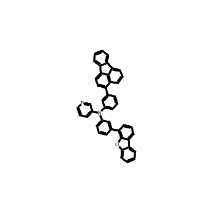 c1cncc(N(c2cccc(-c3ccc4c5c(cccc35)-c3ccccc3-4)c2)c2cccc(-c3cccc4c3oc3ccccc34)c2)c1